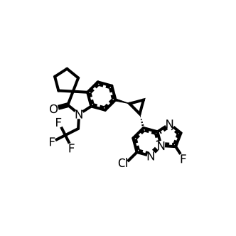 O=C1N(CC(F)(F)F)c2cc([C@H]3C[C@@H]3c3cc(Cl)nn4c(F)cnc34)ccc2C12CCCC2